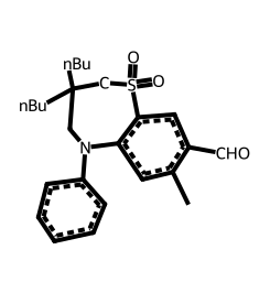 CCCCC1(CCCC)CN(c2ccccc2)c2cc(C)c(C=O)cc2S(=O)(=O)C1